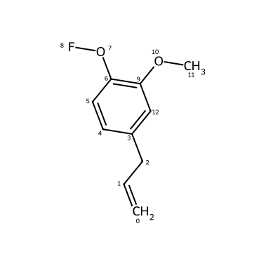 C=CCc1ccc(OF)c(OC)c1